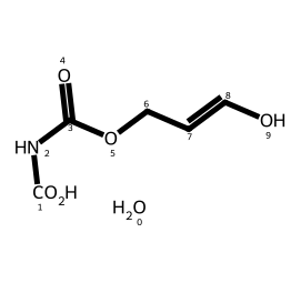 O.O=C(O)NC(=O)OCC=CO